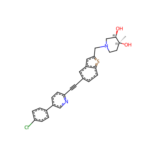 C[C@]1(O)CCN(Cc2cc3cc(C#Cc4ccc(-c5ccc(Cl)cc5)cn4)ccc3s2)C[C@H]1O